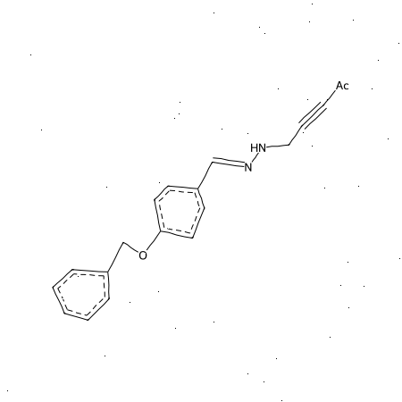 CC(=O)C#CCNN=Cc1ccc(OCc2ccccc2)cc1